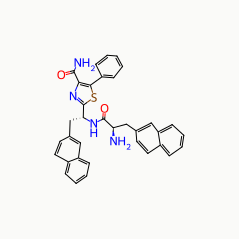 NC(=O)c1nc([C@@H](Cc2ccc3ccccc3c2)NC(=O)[C@H](N)Cc2ccc3ccccc3c2)sc1-c1ccccc1